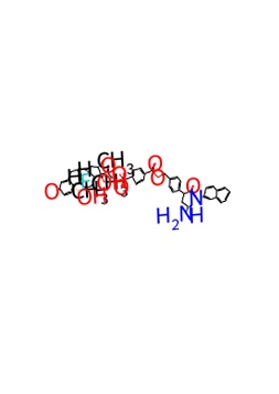 C[C@@H]1C[C@H]2[C@@H]3CCC4=CC(=O)C=C[C@]4(C)[C@@]3(F)[C@@H](O)C[C@]2(C)[C@@]1(O)C(=O)COC(=O)c1ccc(C(=O)OCc2ccc(C(CCN)C(=O)Nc3ccc4ccccc4c3)cc2)cc1